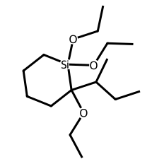 CCOC1(C(C)CC)CCCC[Si]1(OCC)OCC